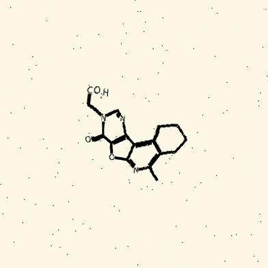 Cc1nc2oc3c(=O)n(CC(=O)O)cnc3c2c2c1CCCC2